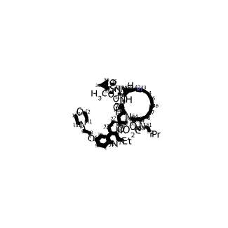 CCc1nc2ccc(OCCN3CCOCC3)cc2c2c1O[C@]1(CC2)C[C@H]2C(=O)N[C@]3(C(=O)NS(=O)(=O)C4(C)CC4)C[C@H]3/C=C\CCCCC[C@H](N(CC(C)C)C(=O)O)C(=O)N2C1